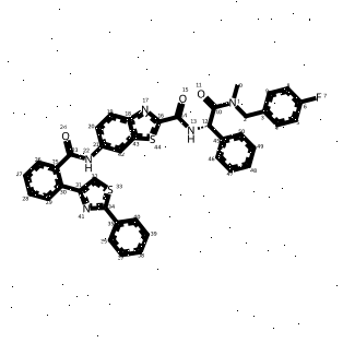 CN(Cc1ccc(F)cc1)C(=O)[C@@H](NC(=O)c1nc2ccc(NC(=O)c3ccccc3-c3csc(-c4ccccc4)n3)cc2s1)c1ccccc1